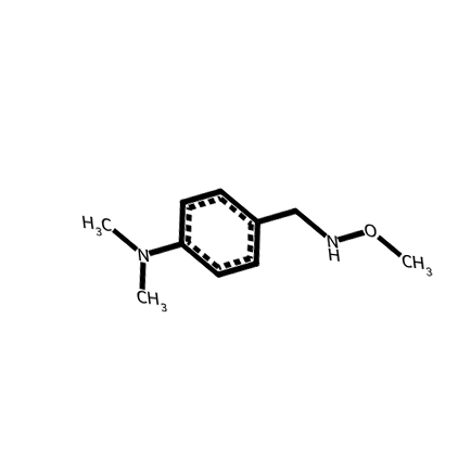 CONCc1ccc(N(C)C)cc1